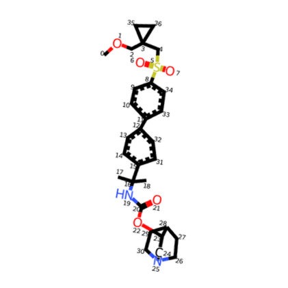 COCC1(CS(=O)(=O)c2ccc(-c3ccc(C(C)(C)NC(=O)OC4CN5CCC4CC5)cc3)cc2)CC1